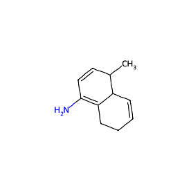 CC1C=CC(N)=C2CCC=CC21